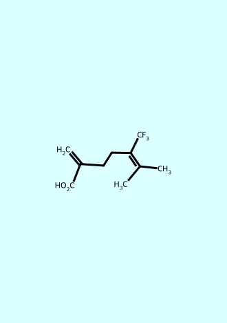 C=C(CCC(=C(C)C)C(F)(F)F)C(=O)O